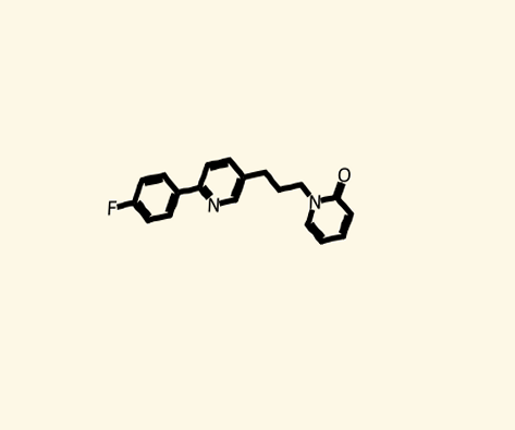 O=c1ccccn1CCCc1ccc(-c2ccc(F)cc2)nc1